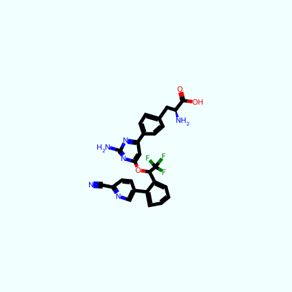 N#Cc1ccc(-c2ccccc2C(Oc2cc(-c3ccc(C[C@H](N)C(=O)O)cc3)nc(N)n2)C(F)(F)F)cn1